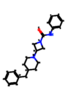 O=C(Nc1ccccc1)N1CC(N2CCC(Cc3ccccc3)CC2)C1